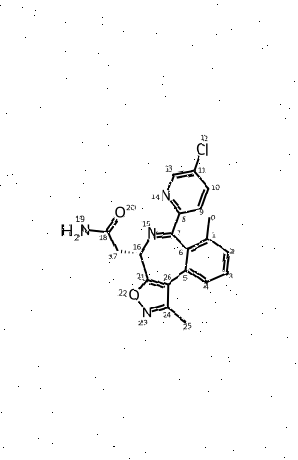 Cc1cccc2c1C(c1ccc(Cl)cn1)=N[C@@H](CC(N)=O)c1onc(C)c1-2